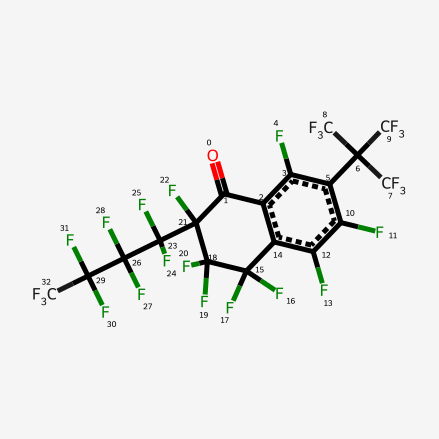 O=C1c2c(F)c(C(C(F)(F)F)(C(F)(F)F)C(F)(F)F)c(F)c(F)c2C(F)(F)C(F)(F)C1(F)C(F)(F)C(F)(F)C(F)(F)C(F)(F)F